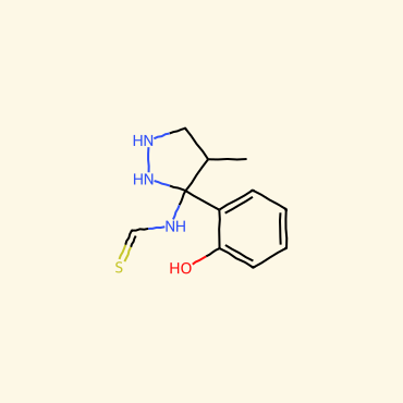 CC1CNNC1(NC=S)c1ccccc1O